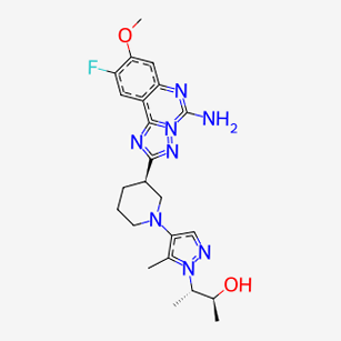 COc1cc2nc(N)n3nc([C@@H]4CCCN(c5cnn([C@@H](C)[C@H](C)O)c5C)C4)nc3c2cc1F